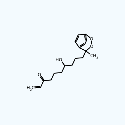 C=CC(=O)CCCC(O)CCCC1(C)OOc2ccc1cc2